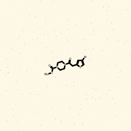 CC(C)(C)OC(=O)N1CCN(C(=O)Cc2cc(Br)cs2)CC1